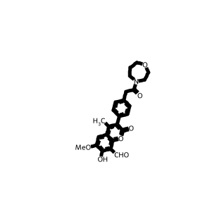 COc1cc2c(C)c(-c3ccc(CC(=O)N4CCCOCC4)cc3)c(=O)oc2c(C=O)c1O